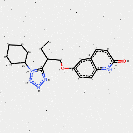 CCC(COc1ccc2[nH]c(=O)ccc2c1)c1nnnn1C1CCCCC1